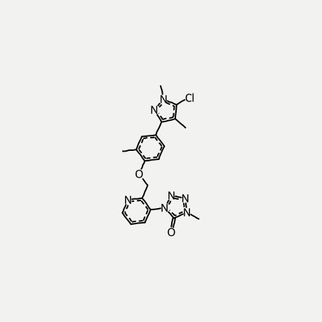 Cc1cc(-c2nn(C)c(Cl)c2C)ccc1OCc1ncccc1-n1nnn(C)c1=O